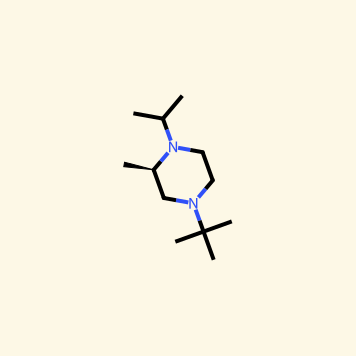 CC(C)N1CCN(C(C)(C)C)C[C@H]1C